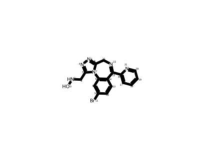 ONCc1nnc2n1-c1cc(Br)ccc1C(c1ccccn1)=NC2